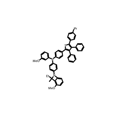 CCC1(C)c2c(OC)cccc2N1c1ccc(N(c2ccc(-c3sc(-c4ccc(C(C)C)cc4)c(-c4ccccc4)c3-c3ccccc3)cc2)c2cccc(OC)c2)cc1